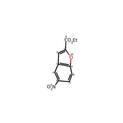 CCOC(=O)c1cc2cc([N+](=O)[O-])ccc2o1